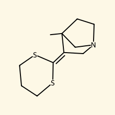 CC12CCN(CC1=C1SCCCS1)C2